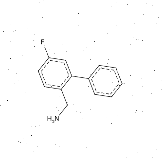 NCc1ccc(F)cc1-c1cc[c]cc1